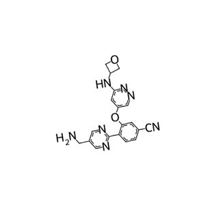 N#Cc1ccc(-c2ncc(CN)cn2)c(Oc2cnnc(NC3COC3)c2)c1